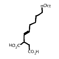 CCCCCCCCCCCC/C=C/C(CC(=O)O)C(=O)O